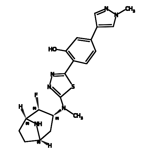 CN(c1nnc(-c2ccc(-c3cnn(C)c3)cc2O)s1)[C@@H]1C[C@H]2CC[C@H](N2)[C@@H]1F